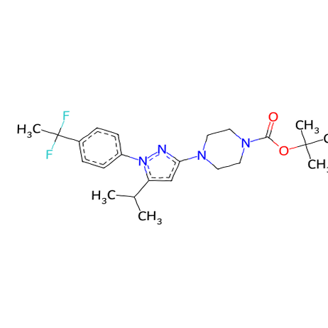 CC(C)c1cc(N2CCN(C(=O)OC(C)(C)C)CC2)nn1-c1ccc(C(C)(F)F)cc1